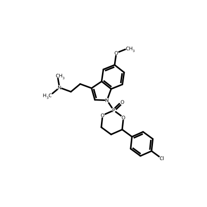 COc1ccc2c(c1)c(CCN(C)C)cn2P1(=O)OCCC(c2ccc(Cl)cc2)O1